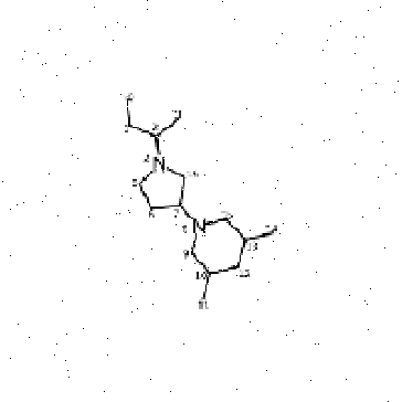 CCC(C)N1CCC(N2CC(C)CC(C)C2)C1